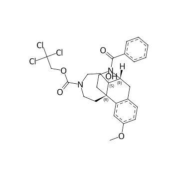 COc1ccc2c(c1)[C@@]13CCN(C(=O)OCC(Cl)(Cl)Cl)CC[C@@]1(O)[C@@H](C2)N(C(=O)c1ccccc1)CC3